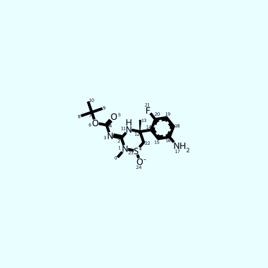 CN1/C(=N/C(=O)OC(C)(C)C)N[C@](C)(c2cc(N)ccc2F)C[S+]1[O-]